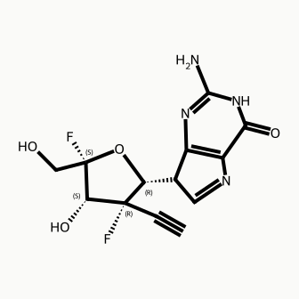 C#C[C@]1(F)[C@@H](C2C=Nc3c2nc(N)[nH]c3=O)O[C@](F)(CO)[C@H]1O